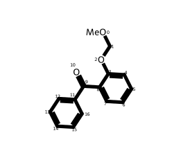 COCOc1ccccc1C(=O)c1ccccc1